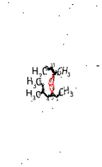 CCC(=O)CC(C)CC.CCC(C)=O